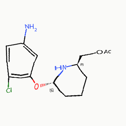 CC(=O)OC[C@H]1CCC[C@H](Oc2cc(N)ccc2Cl)N1